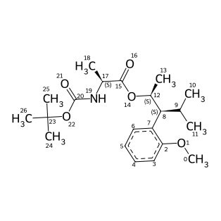 COc1ccccc1[C@H](C(C)C)[C@H](C)OC(=O)[C@H](C)NC(=O)OC(C)(C)C